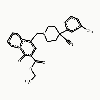 CCOC(=O)c1cc(CN2CCC(C#N)(c3cc(C)ccn3)CC2)c2ccccn2c1=O